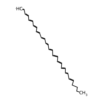 [CH]=CC=CC=CC=CC=CC=CC=CC=CC=CC=CC=CC=CC=CCCCC